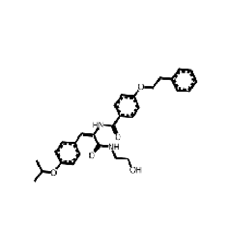 CC(C)Oc1ccc(/C=C(/NC(=O)c2ccc(OCCc3ccccc3)cc2)C(=O)NCCO)cc1